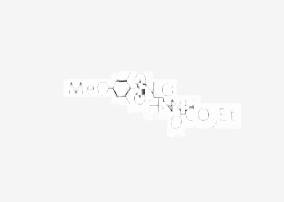 CCOC(=O)C(=O)NNC(=O)CN(C)S(=O)(=O)c1c(C)cc(OC)cc1C